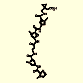 Cn1cc(NC(=O)c2nccn2C)cc1C(=O)NCCC(=O)Nc1cn(C)c(C(=O)Nc2cc(C(=O)NCC3(CC(=O)O)CC3)n(C)c2)n1